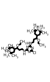 CCOC(CCNc1nc(Cl)nc(NCCC(OCC)C2CC(C)(C)NC(C)(C)C2)n1)C1CC(C)(C)NC(C)(C)C1